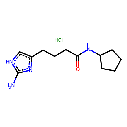 Cl.Nc1nc(CCCC(=O)NC2CCCC2)c[nH]1